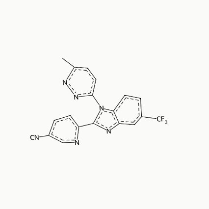 [C-]#[N+]c1ccc(-c2nc3cc(C(F)(F)F)ccc3n2-c2ccc(C)nn2)nc1